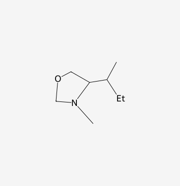 CCC(C)C1COCN1C